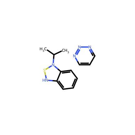 CC(C)N1SNc2ccccc21.c1cnnnc1